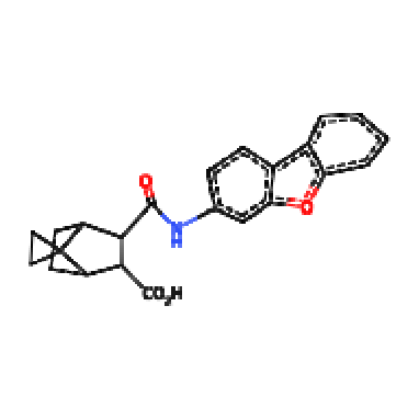 O=C(O)C1C(C(=O)Nc2ccc3c(c2)oc2ccccc23)C2CCC1C21CC1